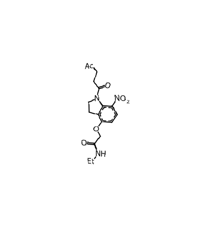 CCNC(=O)COc1ccc([N+](=O)[O-])c2c1CCN2C(=O)CCC(C)=O